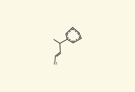 CC/C=C/C(C)c1ccccc1